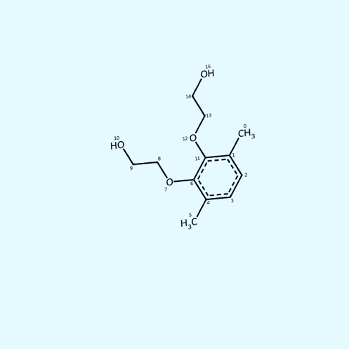 Cc1ccc(C)c(OCCO)c1OCCO